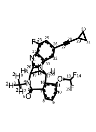 [2H]C([2H])([2H])N1C(=O)c2cccc(OC(F)F)c2[C@H]2C[C@@H]1c1nc3c(F)cc(C#CC4CC4)cc3n12